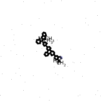 C=Nc1ccc(-c2ccc3c4ccc(-c5ccc(-c6c7c(nc8ccccc68)-c6ccccc6C7(C)C)cc5)cc4c4ccccc4c3c2)cc1/C=C\C